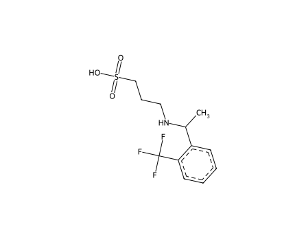 CC(NCCCS(=O)(=O)O)c1ccccc1C(F)(F)F